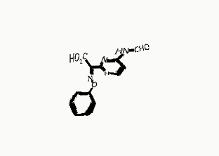 O=CNc1ccnc(/C(=N\Oc2ccccc2)C(=O)O)n1